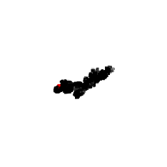 [C-]#[N+]c1ccc(C)c(-n2ncc3c(O[C@@H](COCCO[Si](c4ccccc4)(c4ccccc4)C(C)(C)C)C(=O)Nc4ccc(C)cn4)ncnc32)c1